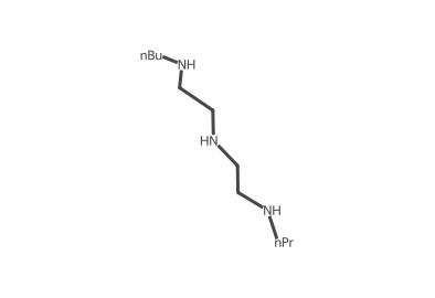 CCCCNCCNCCNCCC